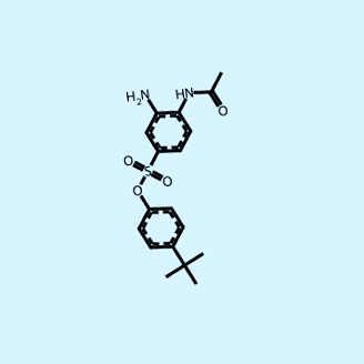 CC(=O)Nc1ccc(S(=O)(=O)Oc2ccc(C(C)(C)C)cc2)cc1N